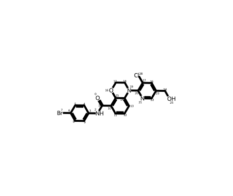 O=C(Nc1ccc(Br)cc1)c1cccc2c1OCCN2c1ncc(CO)cc1Cl